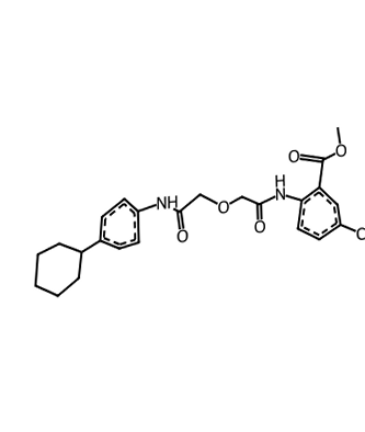 COC(=O)c1cc(Cl)ccc1NC(=O)COCC(=O)Nc1ccc(C2CCCCC2)cc1